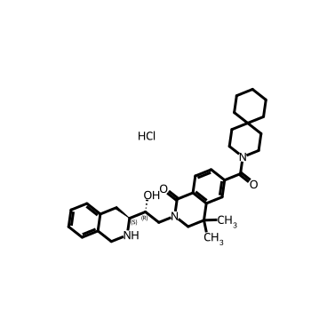 CC1(C)CN(C[C@@H](O)[C@@H]2Cc3ccccc3CN2)C(=O)c2ccc(C(=O)N3CCC4(CCCCC4)CC3)cc21.Cl